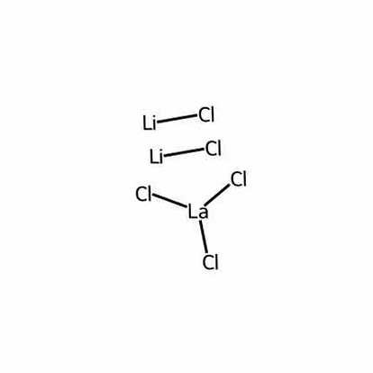 [Cl][La]([Cl])[Cl].[Li][Cl].[Li][Cl]